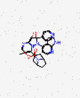 CCOC(=O)N1C2CCC1CC(C1=CC=NC3=C4OC4(c4ccncc4)N(c4ccnc5c4CCN5)N13)C2